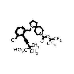 CC(C)(C#Cc1c(Cl)cccc1CN1CCCC12CCN(C(=O)OC(C(F)(F)F)C(F)(F)F)CC2)C(=O)O